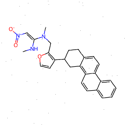 CNC(=C[N+](=O)[O-])N(C)Cc1occc1C1CCc2ccc3c(ccc4ccccc43)c2C1